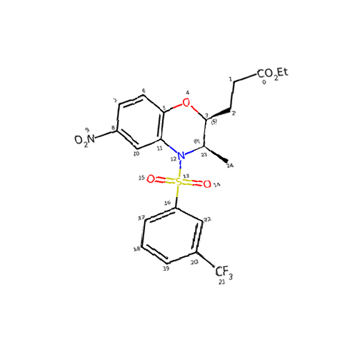 CCOC(=O)CC[C@@H]1Oc2ccc([N+](=O)[O-])cc2N(S(=O)(=O)c2cccc(C(F)(F)F)c2)[C@@H]1C